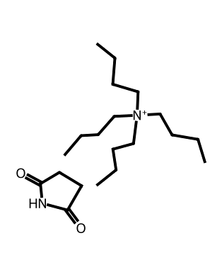 CCCC[N+](CCCC)(CCCC)CCCC.O=C1CCC(=O)N1